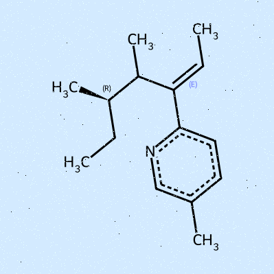 C/C=C(/c1ccc(C)cn1)C(C)[C@H](C)CC